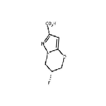 O=C(O)c1cc2n(n1)C[C@@H](F)CO2